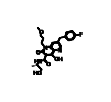 COCCCn1c(=O)c(C(=O)N[C@@H](C)CO)c(O)c2ncc(Cc3ccc(F)cc3)cc21